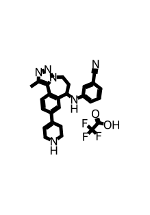 Cc1nnn2c1-c1ccc(C3=CCNCC3)cc1C(Nc1cccc(C#N)c1)CC2.O=C(O)C(F)(F)F